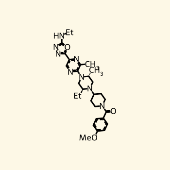 CCNc1nnc(-c2cnc(N3C[C@H](CC)N(C4CCN(C(=O)c5ccc(OC)cc5)CC4)C[C@H]3C)c(C)n2)o1